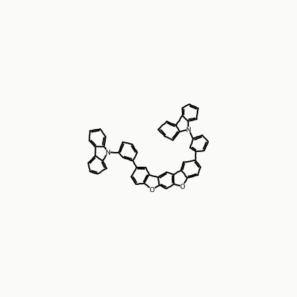 c1cc(-c2ccc3oc4cc5oc6ccc(-c7cccc(-n8c9ccccc9c9ccccc98)c7)cc6c5cc4c3c2)cc(-n2c3ccccc3c3ccccc32)c1